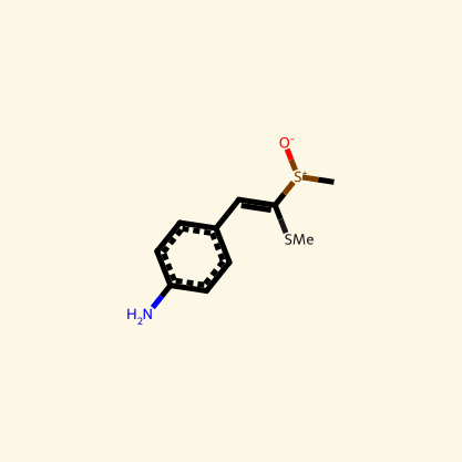 CS/C(=C\c1ccc(N)cc1)[S+](C)[O-]